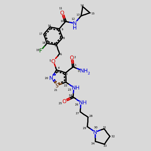 NC(=O)c1c(OCc2cc(C(=O)NC3CC3)ccc2F)nsc1NC(=O)NCCCN1CCCC1